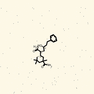 CC1(C)C[C@H]([C@H](C[C@@H](O)[CH]Cc2ccccc2)C(N)=O)CC(C)(C(N)=O)C1